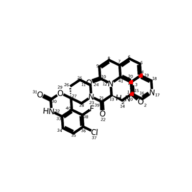 NC(=O)c1cccc2ccc(=O)n([C@@H](Cc3cnccn3)C(=O)N3CCC[C@@]4(C3)OC(=O)Nc3ccc(Cl)c(F)c34)c12